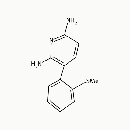 CSc1ccccc1-c1ccc(N)nc1N